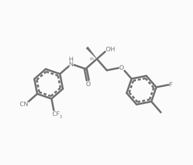 [C-]#[N+]c1ccc(NC(=O)[C@](C)(O)COc2ccc(C)c(F)c2)cc1C(F)(F)F